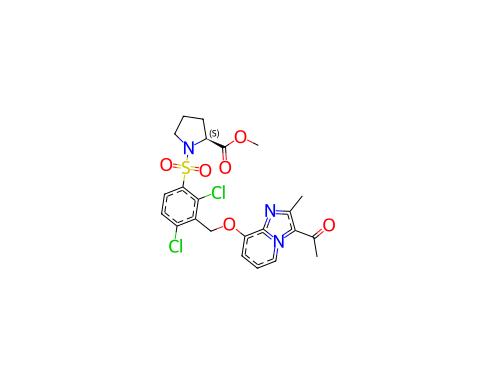 COC(=O)[C@@H]1CCCN1S(=O)(=O)c1ccc(Cl)c(COc2cccn3c(C(C)=O)c(C)nc23)c1Cl